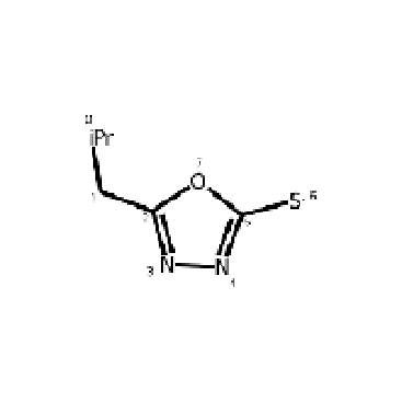 CC(C)Cc1nnc([S])o1